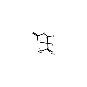 C=C(C)CC(C)C(C)(C)C(=O)O